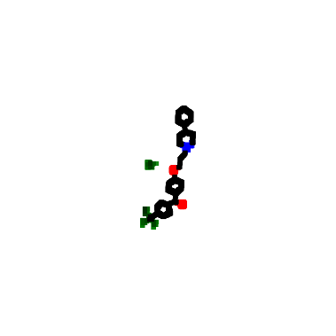 O=C(c1ccc(OCCC[n+]2ccc(-c3ccccc3)cc2)cc1)c1ccc(C(F)(F)F)cc1.[Br-]